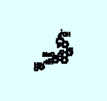 COc1nc(-c2cccc(-c3ccnc(-c4ccc5c(c4)N(C)CCN(C[C@H](C)O)C5)c3Cl)c2Cl)ccc1CNC[C@@H]1CCC(=O)N1